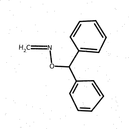 C=NOC(c1ccccc1)c1ccccc1